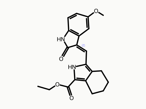 CCOC(=O)c1[nH]c(/C=C2\C(=O)Nc3ccc(OC)cc32)c2c1CCCC2